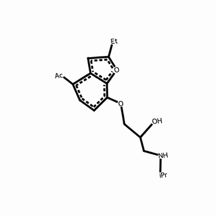 CCc1cc2c(C(C)=O)ccc(OCC(O)CNC(C)C)c2o1